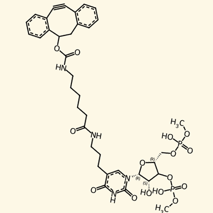 COP(=O)(O)OC[C@H]1O[C@@H](n2cc(CCCNC(=O)CCCCCNC(=O)OC3Cc4ccccc4C#Cc4ccccc43)c(=O)[nH]c2=O)[C@@H](O)C1OP(=O)(O)OC